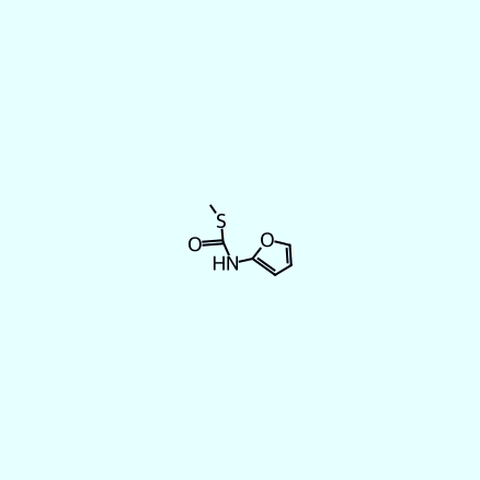 CSC(=O)Nc1ccco1